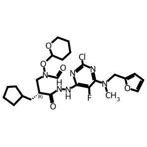 CN(Cc1ccco1)c1nc(Cl)nc(NNC(=O)[C@H](CC2CCCC2)CN(C=O)OC2CCCCO2)c1F